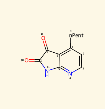 CCCCCc1ccnc2c1C(=O)C(=O)N2